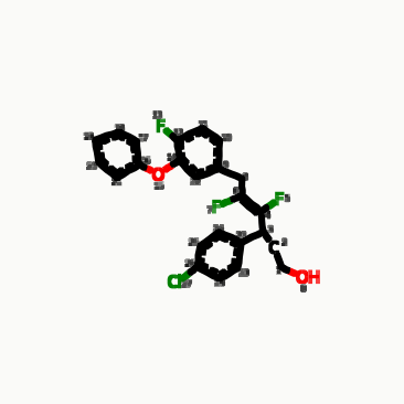 OCCC(C(F)=C(F)Cc1ccc(F)c(Oc2ccccc2)c1)c1ccc(Cl)cc1